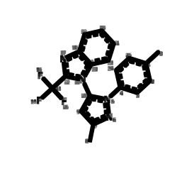 Cc1ccc(-n2nc(C)cc2-n2c(C(F)(F)F)nc3ccccc32)cc1